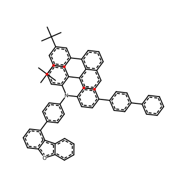 CC(C)(C)c1cc(-c2cccc3cccc(-c4ccccc4N(c4ccc(-c5ccc(-c6ccccc6)cc5)cc4)c4ccc(-c5cccc6oc7ccccc7c56)cc4)c23)cc(C(C)(C)C)c1